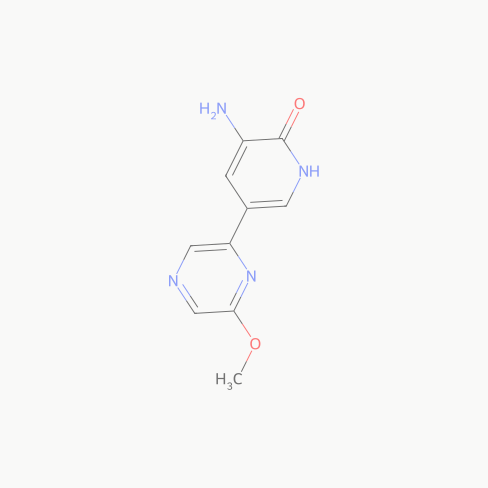 COc1cncc(-c2c[nH]c(=O)c(N)c2)n1